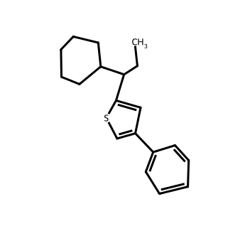 CCC(c1cc(-c2ccccc2)cs1)C1CCCCC1